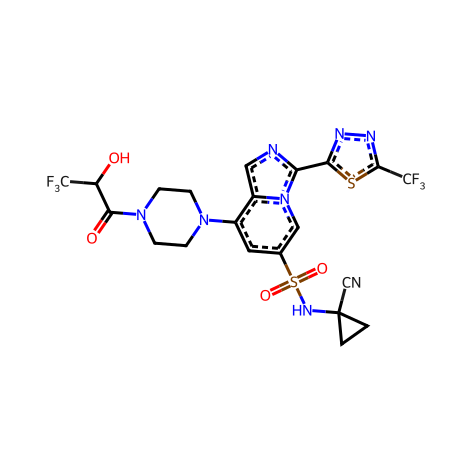 N#CC1(NS(=O)(=O)c2cc(N3CCN(C(=O)C(O)C(F)(F)F)CC3)c3cnc(-c4nnc(C(F)(F)F)s4)n3c2)CC1